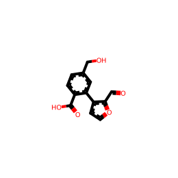 O=Cc1occc1-c1cc(CO)ccc1C(=O)O